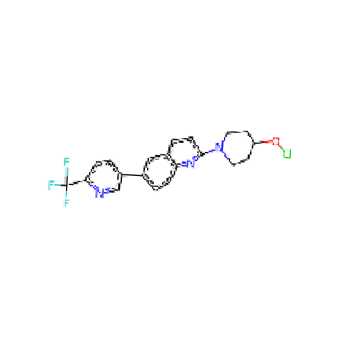 FC(F)(F)c1ccc(-c2ccc3nc(N4CCC(OCl)CC4)ccc3c2)cn1